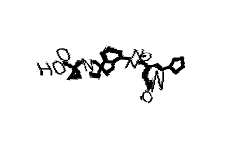 COc1cc(-c2nc(-c3cccc4c3CCC43CCN(CC4(C(=O)O)CC4)C3)no2)cc(C2CCCC2)n1